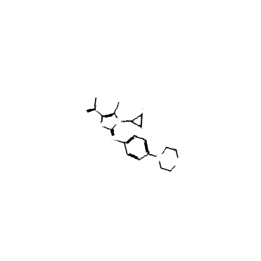 CC(=O)c1sc(=Nc2ccc(N3CCOCC3)cc2)n(C2CC2)c1C.Cl